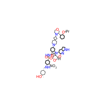 CC(C)Oc1ccccc1[C@@H]1COCCN1C1CC2(CCN(c3ccc(C(=O)NS(=O)(=O)c4ccc(NC[C@H]5CC[C@](C)(O)CC5)c([N+](=O)[O-])c4)c(N4c5cc6cc[nH]c6nc5O[C@H]5COCC[C@@H]54)c3)CC2)C1